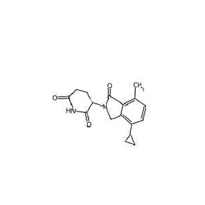 Cc1ccc(C2CC2)c2c1C(=O)N(C1CCC(=O)NC1=O)C2